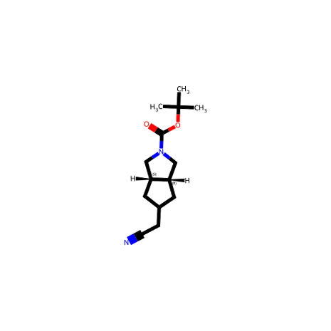 CC(C)(C)OC(=O)N1C[C@H]2CC(CC#N)C[C@H]2C1